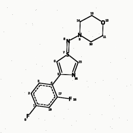 Fc1ccc(C2=CS(=NN3CCOCC3)C=N2)c(F)c1